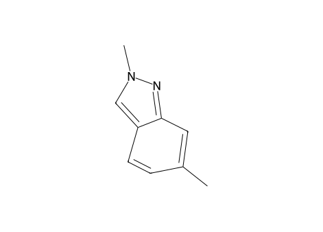 Cc1ccc2cn(C)nc2c1